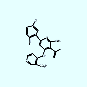 C=C(C)c1c(Nc2ccncc2C(=O)O)cc(-c2cc(Cl)ccc2F)nc1N